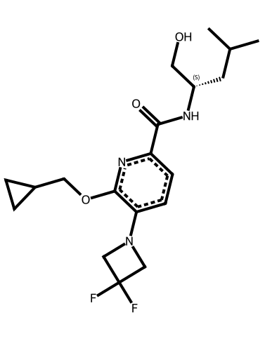 CC(C)C[C@@H](CO)NC(=O)c1ccc(N2CC(F)(F)C2)c(OCC2CC2)n1